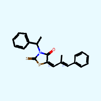 CC(=C\c1ccccc1)/C=C1/SC(=S)N(C(C)c2ccccc2)C1=O